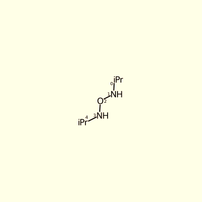 CC(C)NONC(C)C